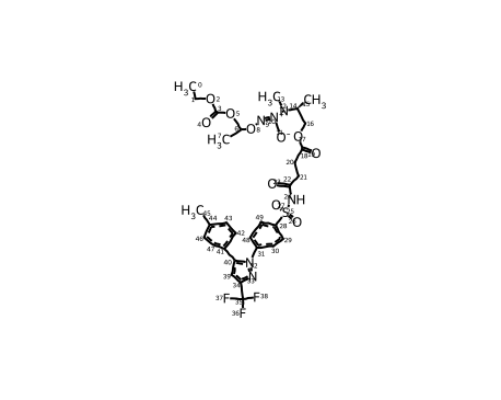 CCOC(=O)OC(C)O/N=[N+](\[O-])N(C)[C@@H](C)COC(=O)CCC(=O)NS(=O)(=O)c1ccc(-n2nc(C(F)(F)F)cc2-c2ccc(C)cc2)cc1